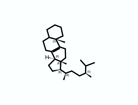 CC(C)[C@@H](C)CC[C@@H](C)[C@H]1CC[C@H]2C3=C(CC[C@]12C)[C@@]1(C)CCCCC1CC3